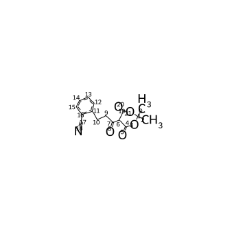 CC1(C)OC(=O)C(C(=O)CCc2ccccc2C#N)C(=O)O1